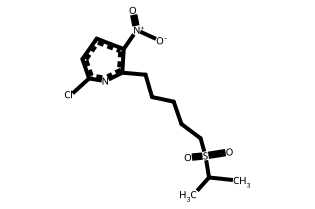 CC(C)S(=O)(=O)CCCCCc1nc(Cl)ccc1[N+](=O)[O-]